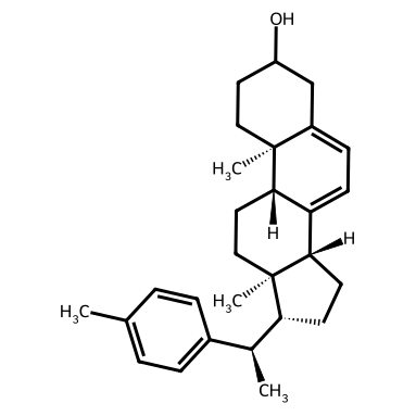 Cc1ccc([C@H](C)[C@H]2CC[C@H]3C4=CC=C5CC(O)CC[C@]5(C)[C@H]4CC[C@]23C)cc1